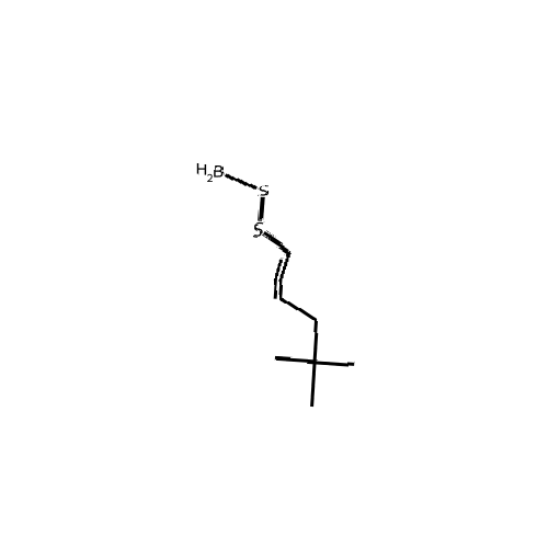 BSS/C=C/CC(C)(C)C